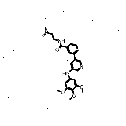 COc1cc(Nc2cncc(-c3cccc(C(=O)NCCN(C)C)c3)c2)cc(OC)c1OC